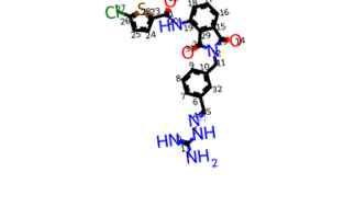 N=C(N)N/N=C/c1cccc(CN2C(=O)c3cccc(NC(=O)c4ccc(Cl)s4)c3C2=O)c1